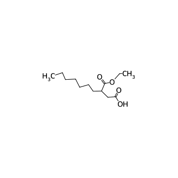 CCCCCCCC(CC(=O)O)C(=O)OCC